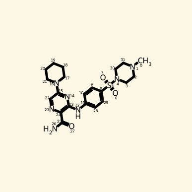 CN1CCN(S(=O)(=O)c2ccc(Nc3nc(N4CCCCC4)cnc3C(N)=O)cc2)CC1